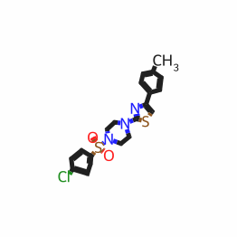 Cc1ccc(-c2csc(N3CCN(S(=O)(=O)c4ccc(Cl)cc4)CC3)n2)cc1